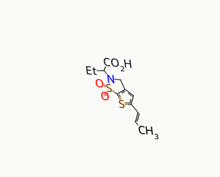 C/C=C/c1cc2c(s1)S(=O)(=O)N(C(CC)C(=O)O)C2